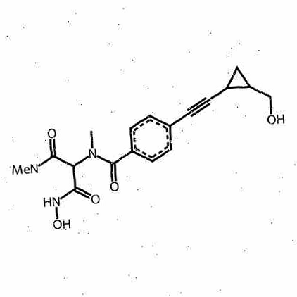 CNC(=O)C(C(=O)NO)N(C)C(=O)c1ccc(C#CC2CC2CO)cc1